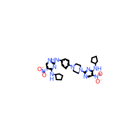 O=[N+]([O-])c1cnc(Nc2ccc(N3CCN(c4ncc([N+](=O)[O-])c(NC5CCCC5)n4)CC3)cc2)nc1NC1CCCC1